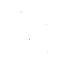 CC(C)c1cccc(CCC2CC2)c1OC(C)(N)C(=O)OC(=O)C(F)(F)F